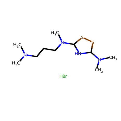 Br.CN(C)CCCN(C)C1NC(N(C)C)SS1